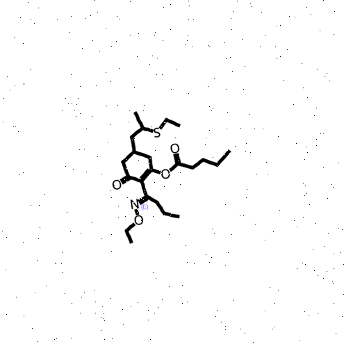 CCCCC(=O)OC1=C(/C(CCC)=N/OCC)C(=O)CC(CC(C)SCC)C1